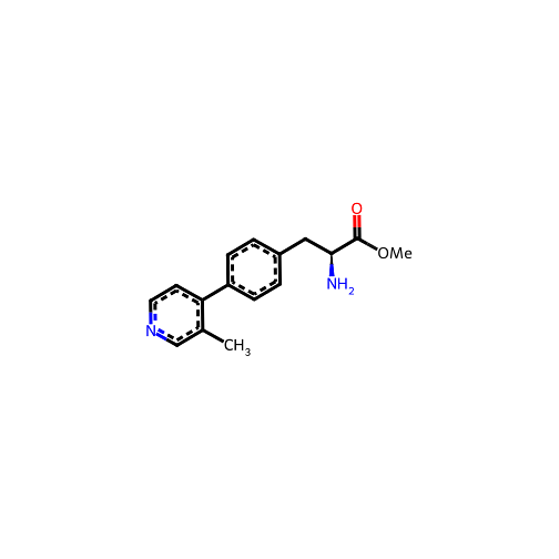 COC(=O)[C@@H](N)Cc1ccc(-c2ccncc2C)cc1